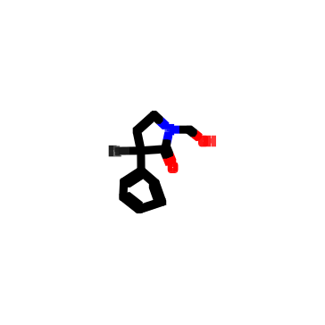 CCC1(c2ccccc2)CCN(CO)C1=O